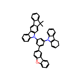 CC1(C)c2ccccc2-c2cc3c4ccccc4n(-c4cc(-c5ccc6oc7ccccc7c6c5)cc(-n5c6c(c7ccccc75)CCC=C6)c4)c3cc21